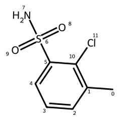 Cc1cccc(S(N)(=O)=O)c1Cl